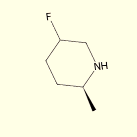 C[C@H]1CCC(F)CN1